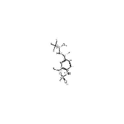 CCc1nc([C@@H](C)N[S+]([O-])C(C)(C)C)ccc1NS(C)(=O)=O